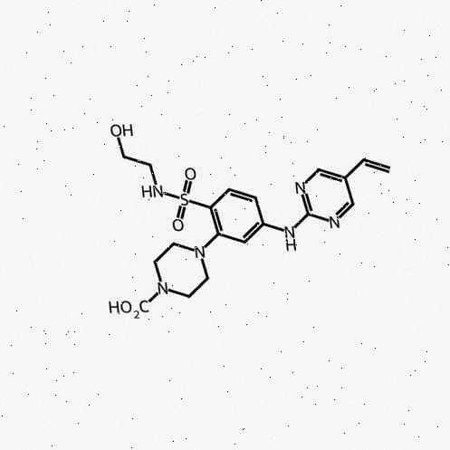 C=Cc1cnc(Nc2ccc(S(=O)(=O)NCCO)c(N3CCN(C(=O)O)CC3)c2)nc1